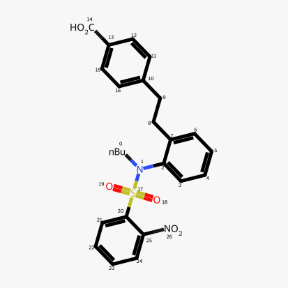 CCCCN(c1ccccc1CCc1ccc(C(=O)O)cc1)S(=O)(=O)c1ccccc1[N+](=O)[O-]